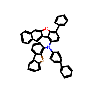 c1ccc(-c2ccc(N(c3cccc4c3sc3ccccc34)c3ccc(-c4ccccc4)c4oc5cc6ccccc6cc5c34)cc2)cc1